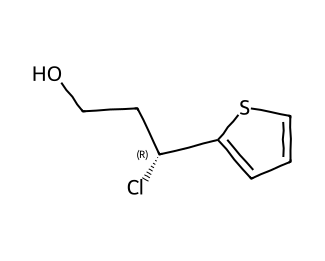 OCC[C@@H](Cl)c1cccs1